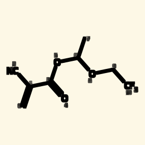 C=C(C#N)C(=O)OC(C)OCC(F)(F)F